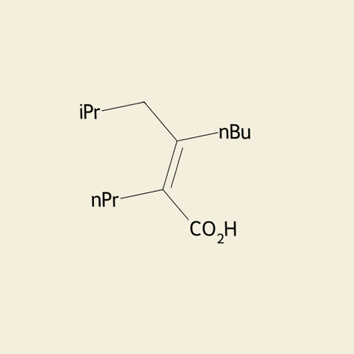 CCCCC(CC(C)C)=C(CCC)C(=O)O